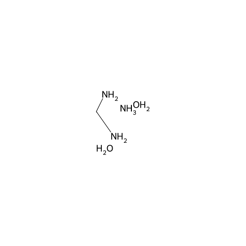 N.NCN.O.O